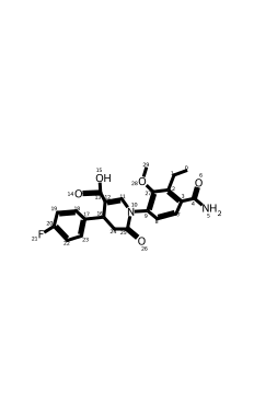 CCc1c(C(N)=O)ccc(N2C=C(C(=O)O)C(c3ccc(F)cc3)CC2=O)c1OC